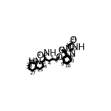 NC(=O)C(CCCOc1cccc2nc3n(c(=O)c12)CC(=O)N3)C1CCC2CCCCC2N1